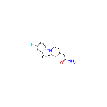 NC(=O)CC1CCN(c2ccc(F)cc2C=O)CC1